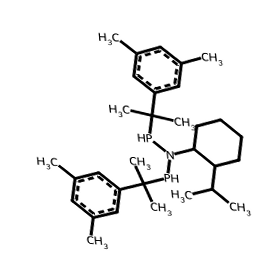 Cc1cc(C)cc(C(C)(C)PN(PC(C)(C)c2cc(C)cc(C)c2)C2CCCCC2C(C)C)c1